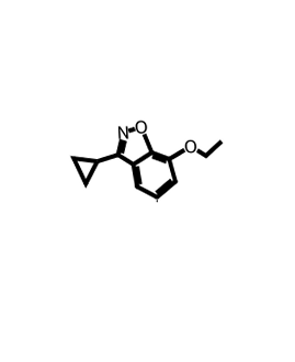 CCOc1c[c]cc2c(C3CC3)noc12